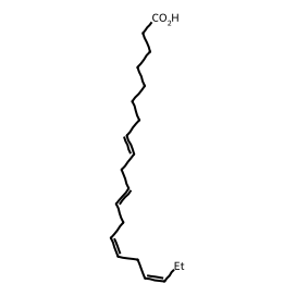 CC/C=C\C/C=C\C/C=C/C/C=C/CCCCCCC(=O)O